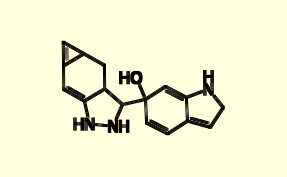 OC1(C2NNC3=CC4=CC4CC32)C=CC2=CCNC2=C1